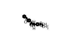 C=C(C)OC(=O)N1CC=C(c2cc3c(Nc4ccc(OCc5ccccc5)c(Cl)c4)ccnc3[nH]2)CC1